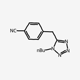 CCCCn1nnnc1Cc1ccc(C#N)cc1